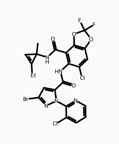 CCC1=CC1(C)NC(=O)c1c(NC(=O)c2cc(Br)nn2-c2ncccc2Cl)c(Cl)cc2c1OC(F)(F)O2